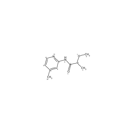 COC(C)C(=O)Nc1cc(C)ccn1